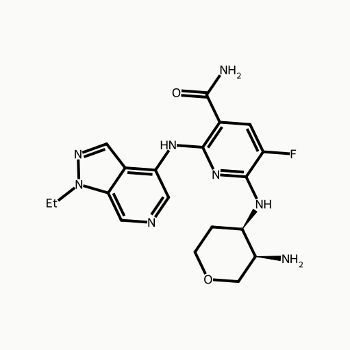 CCn1ncc2c(Nc3nc(N[C@@H]4CCOC[C@@H]4N)c(F)cc3C(N)=O)cncc21